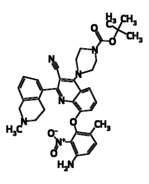 Cc1ccc(N)c([N+](=O)[O-])c1Oc1cccc2c(N3CCN(C(=O)OC(C)(C)C)CC3)c(C#N)c(-c3cccc4c3CCN(C)C4)nc12